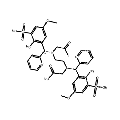 COc1cc(C(c2ccccn2)N(CCN(CC(=O)I)[C@H](c2ccccn2)c2cc(OC)cc(S(=O)(=O)O)c2O)CC(=O)O)c(O)c(S(=O)(=O)O)c1